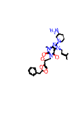 CC(C)=CCn1c(N2CCCC(N)C2)nc2c1c(=O)n(CC(=O)C1=COC(Cc3ccccc3)O1)c(=O)n2C